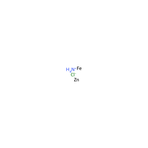 [Cl-].[Fe].[NH4+].[Zn]